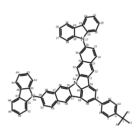 CC(C)(C)c1ccc(-c2cc3c4cc5ccc(-n6c7ccccc7c7ccccc76)cc5cc4n4c5cc6cc(-n7c8ccccc8c8ccccc87)ccc6cc5c(c2)c34)cc1